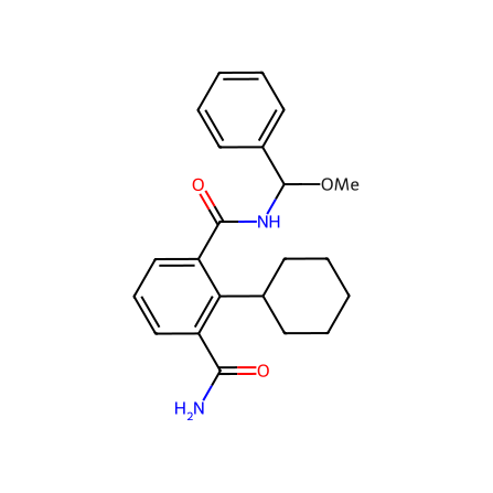 COC(NC(=O)c1cccc(C(N)=O)c1C1CCCCC1)c1ccccc1